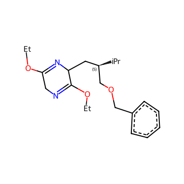 CCOC1=NC(C[C@H](COCc2ccccc2)C(C)C)C(OCC)=NC1